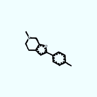 Cc1ccc(-c2cc3c(o2)CN(C)CC3)cc1